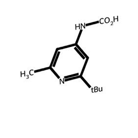 Cc1cc(NC(=O)O)cc(C(C)(C)C)n1